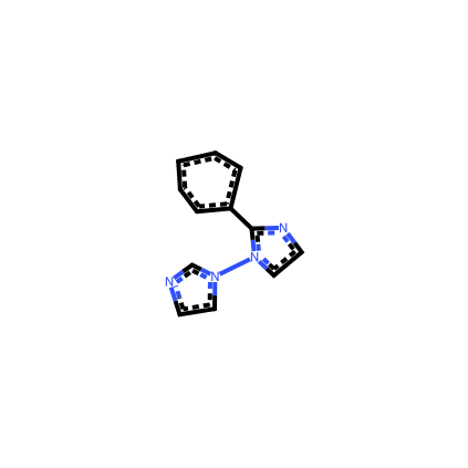 c1ccc(-c2nccn2-n2ccnc2)cc1